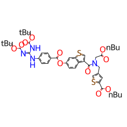 CCCCOC(=O)CN(Cc1csc(C(=O)OCCCC)c1)C(=O)c1csc2cc(OC(=O)c3ccc(N/C(=N/C(=O)OC(C)(C)C)NC(=O)OC(C)(C)C)cc3)ccc12